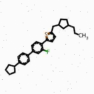 CCCC1CCC(Cc2ccc(-c3ccc(-c4ccc(C5CCCC5)cc4)cc3F)s2)C1